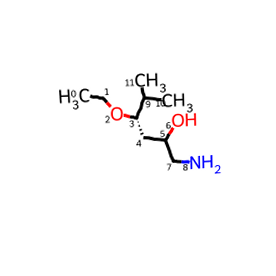 CCO[C@@H](CC(O)CN)C(C)C